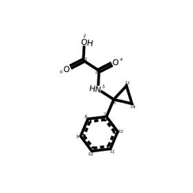 O=C(O)C(=O)NC1(c2ccccc2)CC1